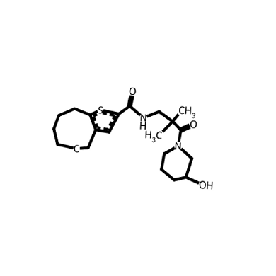 CC(C)(CNC(=O)c1cc2c(s1)CCCCCC2)C(=O)N1CCCC(O)C1